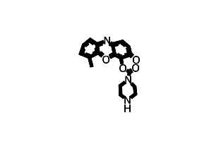 Cc1cccc2nc3ccc(=O)c(OC(=O)N4CCNCC4)c-3oc12